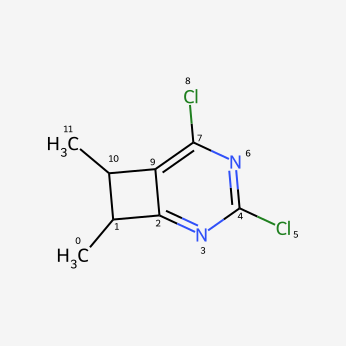 CC1c2nc(Cl)nc(Cl)c2C1C